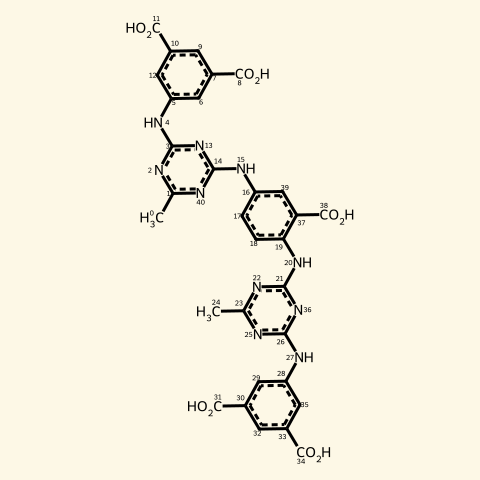 Cc1nc(Nc2cc(C(=O)O)cc(C(=O)O)c2)nc(Nc2ccc(Nc3nc(C)nc(Nc4cc(C(=O)O)cc(C(=O)O)c4)n3)c(C(=O)O)c2)n1